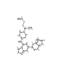 COCCN(C)c1ccc(Nc2nc(-c3ccc4cn[nH]c4c3)cn3ccnc23)cn1